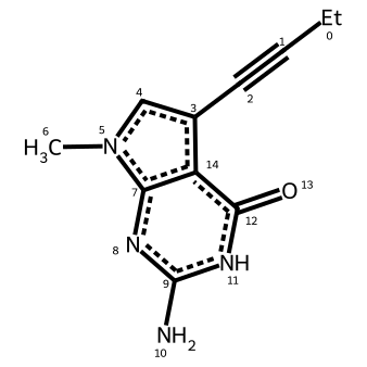 CCC#Cc1cn(C)c2nc(N)[nH]c(=O)c12